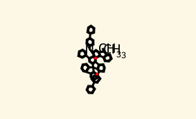 CC1(C)c2ccccc2-c2ccc(N(c3ccc(-c4ccccc4)cc3)c3ccccc3-c3ccc4c(c3)C3(c5ccccc5-c5ccccc53)c3c(-c5ccc(-c6ccccc6)cc5)cccc3-4)cc21